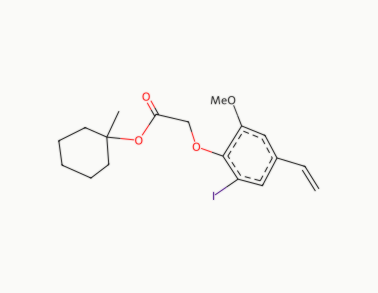 C=Cc1cc(I)c(OCC(=O)OC2(C)CCCCC2)c(OC)c1